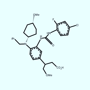 COCC(CC(=O)O)c1ccc(N(CC(C)C)[C@H]2CC[C@@H](OC)CC2)c(NC(=O)Nc2ccc(Cl)cc2F)c1